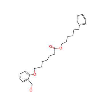 O=Cc1ccccc1OCCCCCCC(=O)OCCCCCCc1ccccc1